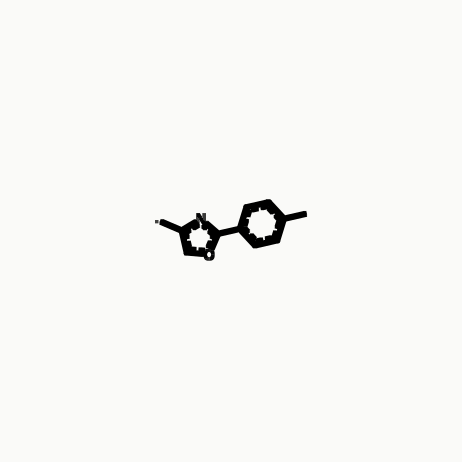 [CH2]c1coc(-c2ccc(C)cc2)n1